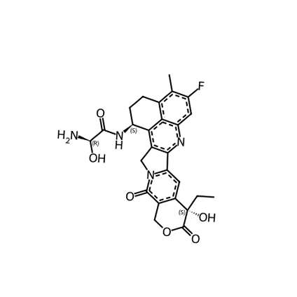 CC[C@@]1(O)C(=O)OCc2c1cc1n(c2=O)Cc2c-1nc1cc(F)c(C)c3c1c2[C@@H](NC(=O)[C@H](N)O)CC3